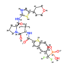 CC(C)(C)C(NC(=O)c1cc2cc(C(F)(F)P(=O)(O)O)ccc2s1)C(=O)N1CCC[C@H]1C(=O)Nc1ncc(C2CCOCC2)s1